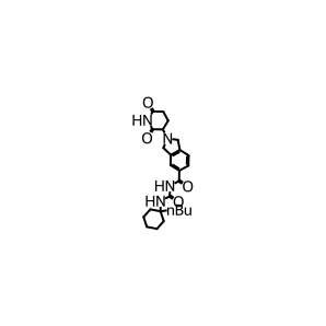 CCCCC1(NC(=O)NC(=O)c2ccc3c(c2)CN(C2CCC(=O)NC2=O)C3)CCCCC1